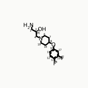 NC[C@@H](O)CN1CCC(Oc2ccc(F)c(F)c2)CC1